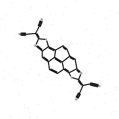 N#CC(C#N)=c1nc2cc3ccc4c5sc(=C(C#N)C#N)nc5cc5ccc(c2s1)c3c54